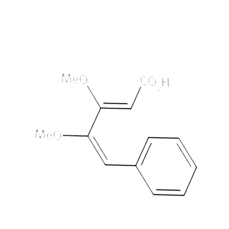 COC(=CC(=O)O)C(=Cc1ccccc1)OC